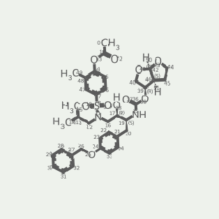 CC(=O)Oc1ccc(S(=O)(=O)N(CC(C)C)C[C@@H](O)[C@H](Cc2ccc(OCc3ccccc3)cc2)NC(=O)O[C@H]2CO[C@H]3OCC[C@H]32)cc1C